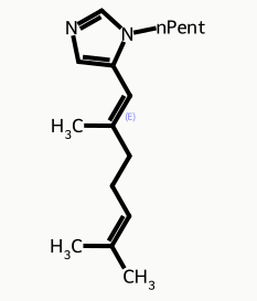 CCCCCn1cncc1/C=C(\C)CCC=C(C)C